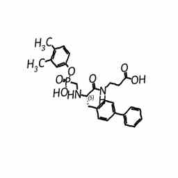 Cc1ccc(OP(=O)(O)CN[C@@H](Cc2ccc(-c3ccccc3)cc2)C(=O)NCCC(=O)O)cc1C